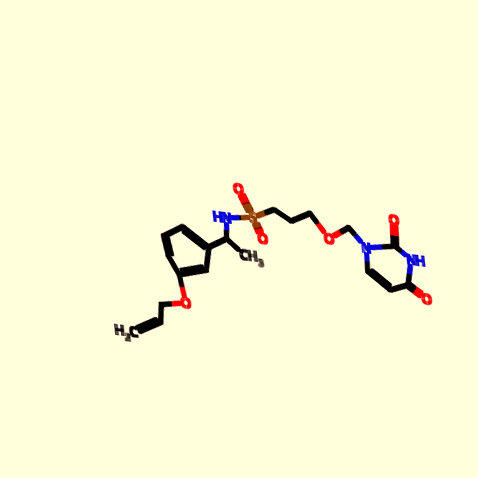 C=CCOc1cccc(C(C)NS(=O)(=O)CCCOCn2ccc(=O)[nH]c2=O)c1